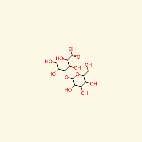 O=C(O)[C@H](O)[C@@H](O)[C@H](OC1OC(CO)C(O)C(O)C1O)[C@H](O)CO